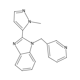 Cn1nccc1-c1nc2ccccc2n1Cc1cccnc1